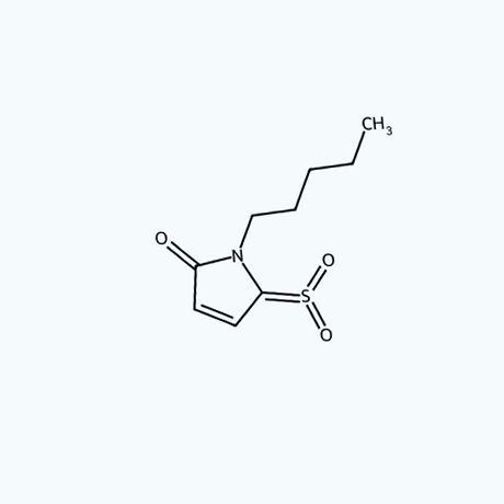 CCCCCN1C(=O)C=CC1=S(=O)=O